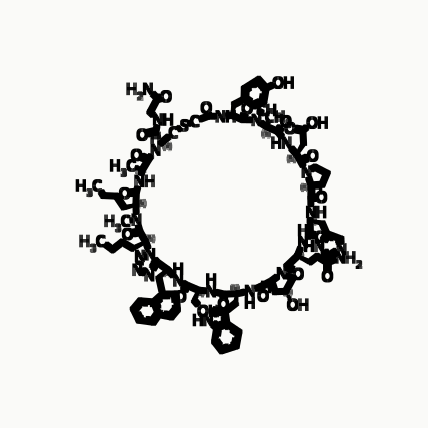 CCCC[C@H]1C(=O)N[C@@H](C)C(=O)N[C@H](C(=O)NCC(N)=O)CSCC(=O)N[C@@H](Cc2ccc(O)cc2)C(=O)N(C)[C@@H](C)C(=O)N[C@@H](CC(=O)O)C(=O)N2CCC[C@H]2C(=O)N[C@@H](Cc2cnc[nH]2)C(=O)N[C@@H](CCC(N)=O)C(=O)N2C[C@H](O)C[C@H]2C(=O)N[C@@H](Cc2c[nH]c3ccccc23)C(=O)N[C@@H](CO)C(=O)N[C@@H](Cc2cccc3ccccc23)c2nnnn2[C@@H](CCCC)C(=O)N1C